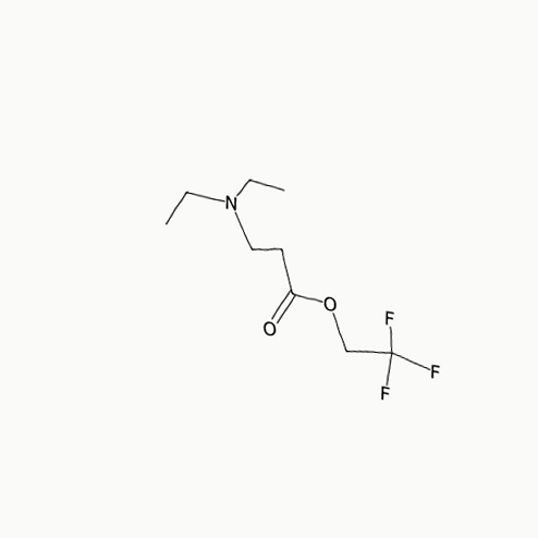 CCN(CC)CCC(=O)OCC(F)(F)F